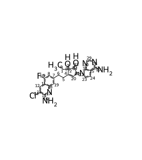 CC[C@@]1(O)C(CCc2cc(F)c3cc(Cl)c(N)nc3c2)=C[C@@H](n2ccc3c(N)ncnc32)[C@@H]1O